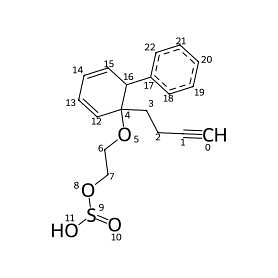 C#CCCC1(OCCOS(=O)O)C=CC=CC1c1ccccc1